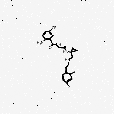 Cc1ccc(CCNCC2(NC(=O)CNC(=O)c3cc(C(F)(F)F)ccc3N)CC2)c(C)c1